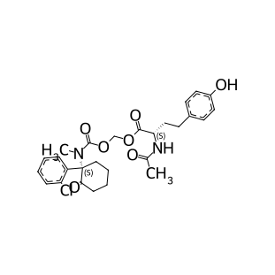 CC(=O)N[C@@H](CCc1ccc(O)cc1)C(=O)OCOC(=O)N(C)[C@]1(c2ccccc2Cl)CCCCC1=O